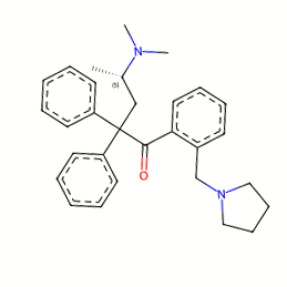 C[C@@H](CC(C(=O)c1ccccc1CN1CCCC1)(c1ccccc1)c1ccccc1)N(C)C